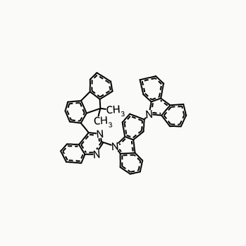 CC1(C)c2ccccc2-c2cccc(-c3nc(-n4c5ccccc5c5cc(-n6c7ccccc7c7ccccc76)ccc54)nc4ccccc34)c21